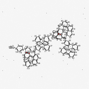 CC(C)(C)c1ccc(-c2ccc(N(c3ccc4c(c3)-c3ccccc3C43c4ccccc4-c4cc(CC(C)(C)c5ccc(N(c6ccc7c(c6)-c6ccccc6C76c7ccccc7-c7ccccc76)c6ccc7ccccc7c6-c6cccc7sc8ccccc8c67)cc5)ccc43)c3ccc4ccccc4c3-c3cccc4sc5ccccc5c34)cc2)cc1